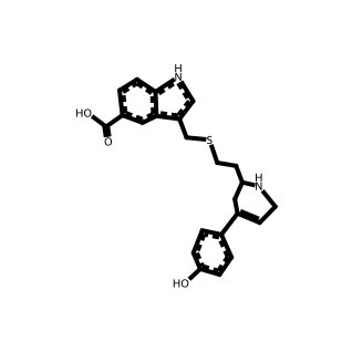 O=C(O)c1ccc2[nH]cc(CSCCC3CC(c4ccc(O)cc4)=CCN3)c2c1